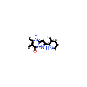 Cc1[nH]c2cc(C3NCCCC3C)nn2c(=O)c1C